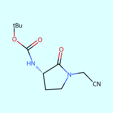 CC(C)(C)OC(=O)N[C@H]1CCN(CC#N)C1=O